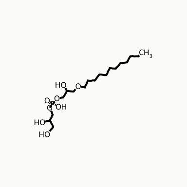 CCCCCCCCCCCCOCC(O)COP(=O)(O)OCC(O)CO